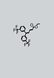 CCOC(=O)C=CC=C(c1cccc(C(F)(F)F)c1)c1cccc(C(F)(F)F)c1